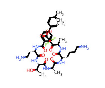 C=C(C)/C=C\C(=C/C)c1ccc(C(=O)N[C@@H](CCN)C(=O)N[C@H](C(=O)N[C@@H](C)C(=O)N[C@@H](CCCCN)C(=O)NC(C)C(=O)C(F)(F)C(=O)O)[C@@H](C)O)cc1